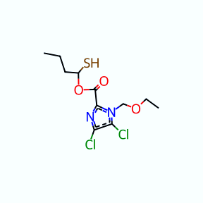 CCCC(S)OC(=O)c1nc(Cl)c(Cl)n1COCC